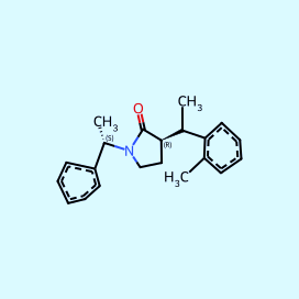 Cc1ccccc1C(C)[C@H]1CCN([C@@H](C)c2ccccc2)C1=O